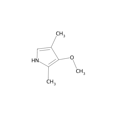 COc1c(C)c[nH]c1C